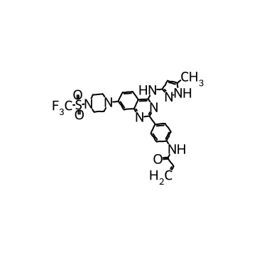 C=CC(=O)Nc1ccc(-c2nc(Nc3cc(C)[nH]n3)c3ccc(N4CCN(S(=O)(=O)C(F)(F)F)CC4)cc3n2)cc1